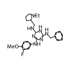 CCN1CCCC1CNC1N=C(Nc2ccc(OC)c(F)c2)N=C(NCc2ccccc2)N1